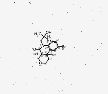 CC(C)(O)CN1C(=O)[C@@H]2COCC[C@H]2c2cc(Br)cnc21